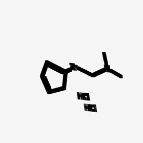 CN(C)[CH2][Zr][C]1=CC=CC1.Cl.Cl